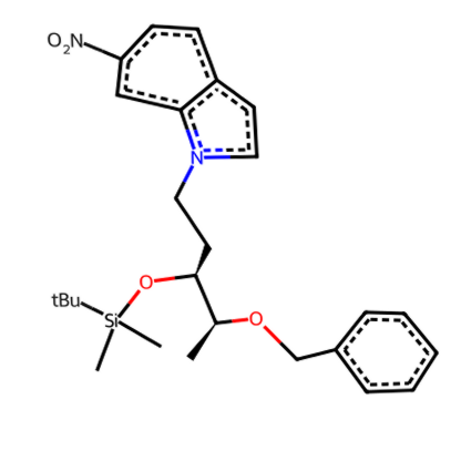 C[C@H](OCc1ccccc1)[C@H](CCn1ccc2ccc([N+](=O)[O-])cc21)O[Si](C)(C)C(C)(C)C